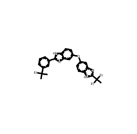 CCC(C)(C)c1cccc(-c2nc3cc(Oc4ccc5[nH]c(C(C)(CC)CC)nc5c4)ccc3[nH]2)c1